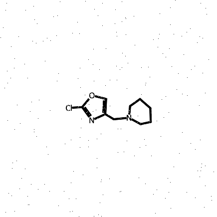 Clc1nc(CN2CCCCC2)co1